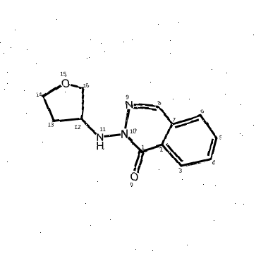 O=c1c2ccccc2cnn1NC1CCOC1